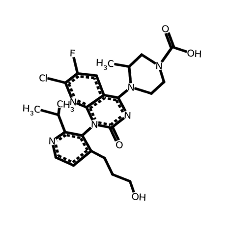 CC(C)c1nccc(CCCO)c1-n1c(=O)nc(N2CCN(C(=O)O)CC2C)c2cc(F)c(Cl)nc21